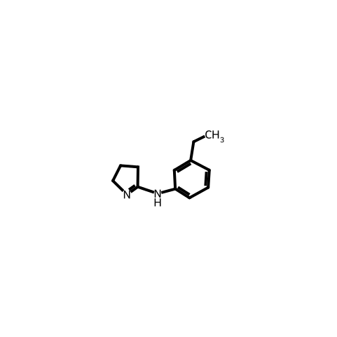 CCc1cccc(NC2=NCCC2)c1